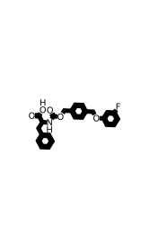 O=C(NC(Cc1ccccc1)C(=O)O)OCc1ccc(COc2cccc(F)c2)cc1